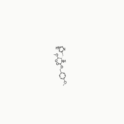 COC(=O)[C@H](Cc1c[nH]cn1)NC(=O)OCc1ccc(OC)cc1